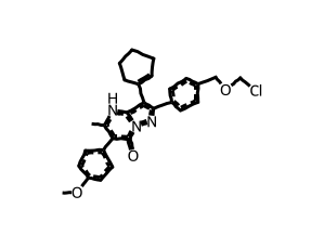 COc1ccc(-c2c(C)[nH]c3c(C4=CCCCC4)c(-c4ccc(COCCl)cc4)nn3c2=O)cc1